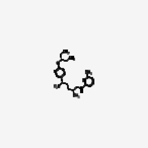 CCC(CC)Oc1ccc(C(C)CCC(C)CNc2cccc(C)n2)cn1